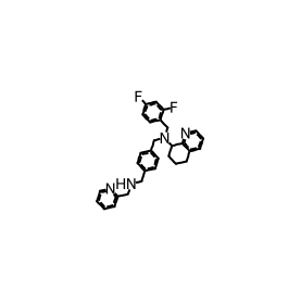 Fc1ccc(CN(Cc2ccc(CNCc3ccccn3)cc2)C2CCCc3cccnc32)c(F)c1